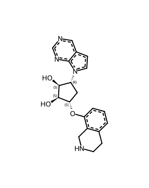 O[C@@H]1[C@H](O)[C@@H](Oc2cccc3c2CNCC3)C[C@H]1n1ccc2cncnc21